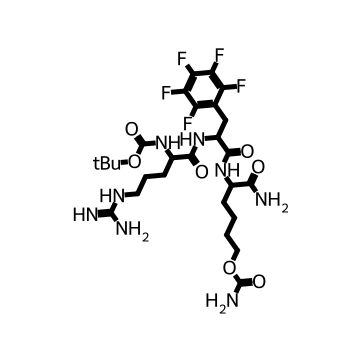 CC(C)(C)OC(=O)NC(CCCNC(=N)N)C(=O)NC(Cc1c(F)c(F)c(F)c(F)c1F)C(=O)NC(CCCCOC(N)=O)C(N)=O